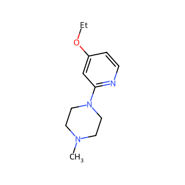 CCOc1ccnc(N2CCN(C)CC2)c1